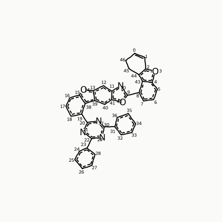 C1=Cc2oc3cccc(-c4nc5cc6oc7cccc(-c8nc(-c9ccccc9)nc(-c9ccccc9)n8)c7c6cc5o4)c3c2CC1